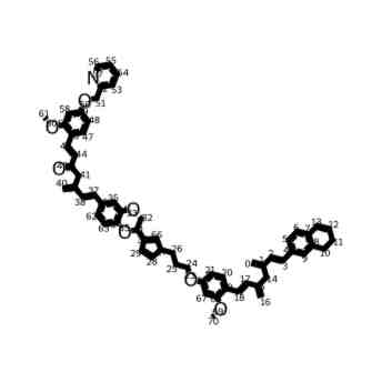 C=C(/C=C/c1ccc2c(c1)CCC=C2)CC(=C)/C=C/c1ccc(OCCCC2C=CC(C3COc4cc(/C=C/C(=C)CC(=O)/C=C/c5ccc(OCc6ccccn6)cc5OC)ccc4O3)=C2)cc1OC